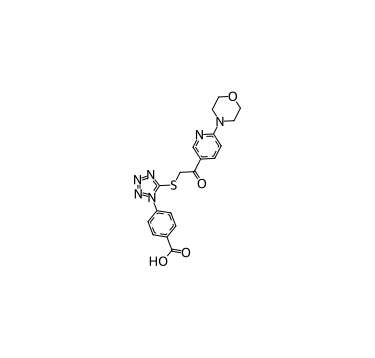 O=C(O)c1ccc(-n2nnnc2SCC(=O)c2ccc(N3CCOCC3)nc2)cc1